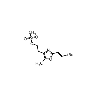 Cc1oc(/C=C/C(C)(C)C)nc1CCOS(C)(=O)=O